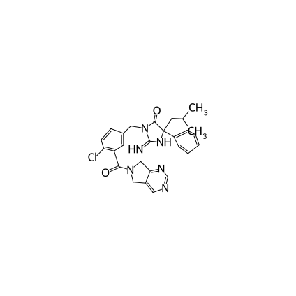 CC(C)CC1(c2ccccc2)NC(=N)N(Cc2ccc(Cl)c(C(=O)N3Cc4cncnc4C3)c2)C1=O